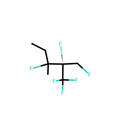 CCC(C)(F)[C@@](F)(CF)C(F)(F)F